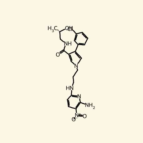 C[C@H](O)CNC(=O)c1cn(CCCNc2ccc([N+](=O)[O-])c(N)n2)cc1-c1cccc(Cl)c1